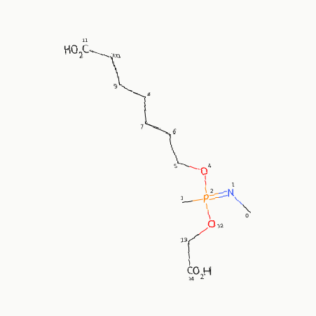 CN=P(C)(OCCCCCCC(=O)O)OCC(=O)O